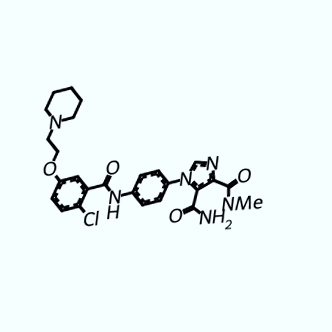 CNC(=O)c1ncn(-c2ccc(NC(=O)c3cc(OCCN4CCCCC4)ccc3Cl)cc2)c1C(N)=O